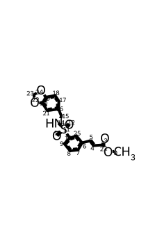 COC(=O)C=Cc1cccc(S(=O)(=O)NCc2ccc3c(c2)OCO3)c1